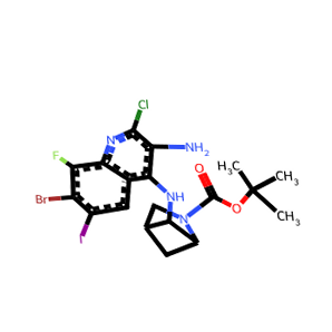 CC(C)(C)OC(=O)N1CC2CC1C2Nc1c(N)c(Cl)nc2c(F)c(Br)c(I)cc12